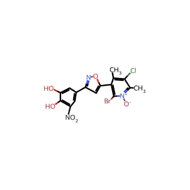 Cc1c(Cl)c(C)[n+]([O-])c(Br)c1-c1cc(-c2cc(O)c(O)c([N+](=O)[O-])c2)no1